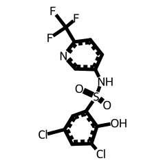 O=S(=O)(Nc1ccc(C(F)(F)F)nc1)c1cc(Cl)cc(Cl)c1O